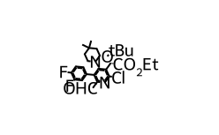 CCOC(=O)[C@@H](OC(C)(C)C)c1c(Cl)nc(C=O)c(-c2ccc(F)c(F)c2)c1N1CCC(C)(C)CC1